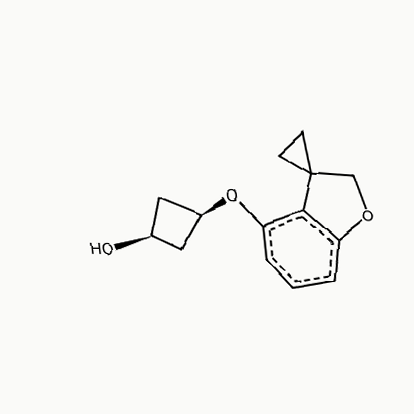 O[C@H]1C[C@@H](Oc2cccc3c2C2(CC2)CO3)C1